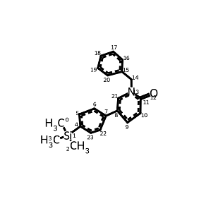 C[Si](C)(C)c1ccc(-c2ccc(=O)n(Cc3ccccc3)c2)cc1